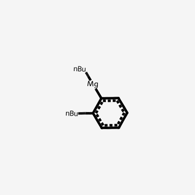 CCC[CH2][Mg][c]1ccccc1CCCC